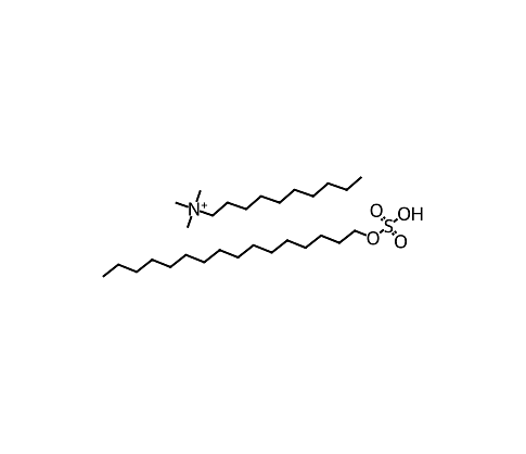 CCCCCCCCCCCCCCCCOS(=O)(=O)O.CCCCCCCCCC[N+](C)(C)C